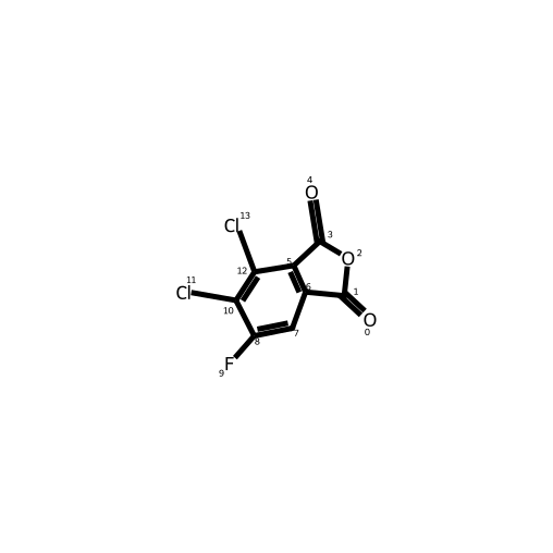 O=C1OC(=O)c2c1cc(F)c(Cl)c2Cl